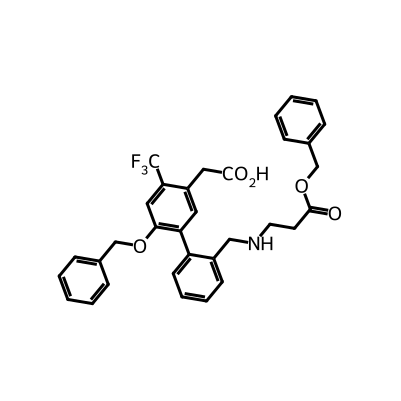 O=C(O)Cc1cc(-c2ccccc2CNCCC(=O)OCc2ccccc2)c(OCc2ccccc2)cc1C(F)(F)F